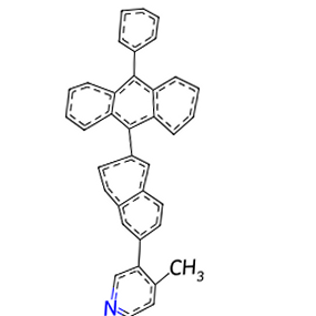 Cc1ccncc1-c1ccc2cc(-c3c4ccccc4c(-c4ccccc4)c4ccccc34)ccc2c1